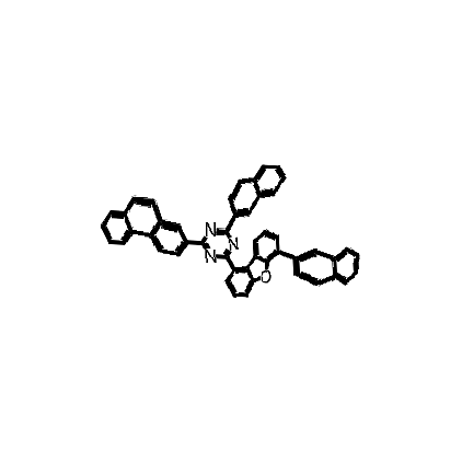 c1ccc2cc(-c3nc(-c4ccc5c(ccc6ccccc65)c4)nc(-c4cccc5oc6c(-c7ccc8ccccc8c7)cccc6c45)n3)ccc2c1